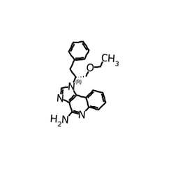 CCOC[C@@H](Cc1ccccc1)n1cnc2c(N)nc3ccccc3c21